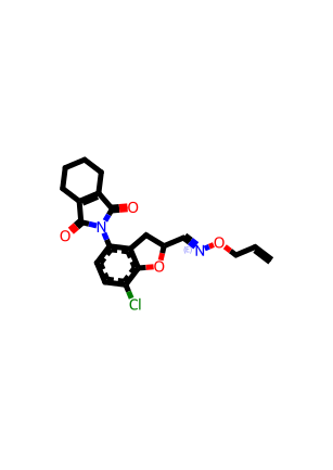 C=CCO/N=C/C1Cc2c(N3C(=O)C4=C(CCCC4)C3=O)ccc(Cl)c2O1